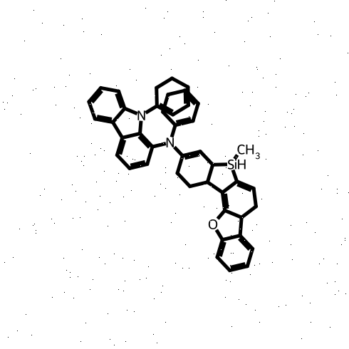 C[SiH]1C2=CCC3C(=C2C2CCC(N(C4=CC=CCC4)c4cccc5c6ccccc6n(C6=CC=CCC6)c45)=CC21)Oc1ccccc13